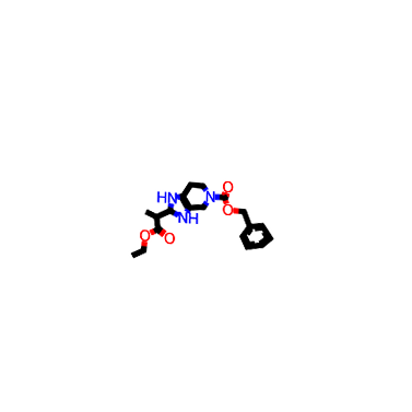 CCOC(=O)C(C)C1NC2=C(CN(C(=O)OCc3ccccc3)CC2)N1